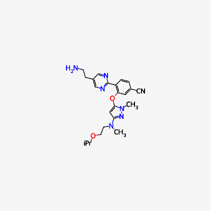 CC(C)OCCN(C)c1cc(Oc2cc(C#N)ccc2-c2ncc(CCN)cn2)n(C)n1